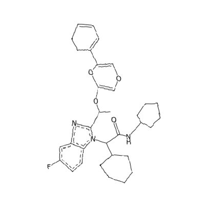 CC(OC1=COC=C(C2=CC=CCC2)O1)c1nc2cc(F)ccc2n1C(C(=O)NC1CCCCC1)C1CCCCC1